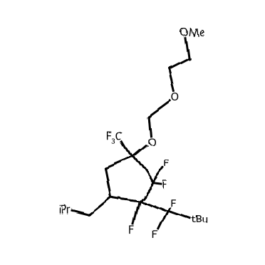 COCCOCOC1(C(F)(F)F)CC(CC(C)C)C(F)(C(F)(F)C(C)(C)C)C1(F)F